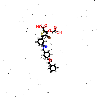 O=C(O)COc1c(C(=O)O)sc(-c2cccc(NCc3ccc(OCc4ccccc4)cc3)c2)c1Br